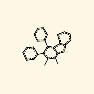 Ic1c(-c2ccccc2)c(-c2ccccc2)c2c([nH]c3ccccc32)c1I